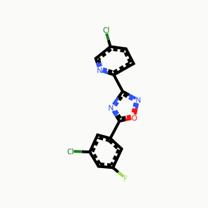 Fc1cc(Cl)cc(-c2nc(-c3ccc(Cl)cn3)no2)c1